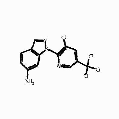 Nc1ccc2cnn(-c3ncc(C(Cl)(Cl)Cl)cc3Cl)c2c1